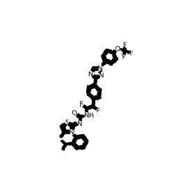 Cc1cs/c(=N\C(=O)NC(F)C(F)c2ccc(-c3ncn(-c4ccc(OC(F)(F)F)cc4)n3)cc2)n1-c1ccccc1C(C)C